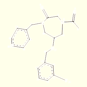 CC(=O)N1CC(=O)N(Cc2ccncc2)CC(OCc2cccc(F)c2)C1